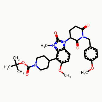 COc1ccc(CN2C(=O)CCC(n3c(=O)n(C)c4c(C5CCN(C(=O)OC(C)(C)C)CC5)c(OC)ccc43)C2=O)cc1